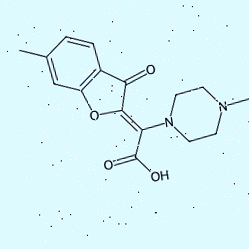 Cc1ccc2c(c1)OC(=C(C(=O)O)N1CCN(C)CC1)C2=O